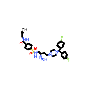 C#CCNC(=O)c1ccc(S(=O)(=O)N/C=C(/CCN2CCN(C(c3ccc(F)cc3)c3ccc(F)cc3)CC2)N=N)cc1